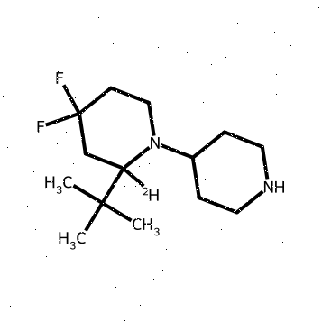 [2H]C1(C(C)(C)C)CC(F)(F)CCN1C1CCNCC1